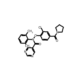 Cc1cccc(C)c1N(Oc1ccc(C(=O)N2CCCC2)cc1Cl)C(=O)c1cncnc1